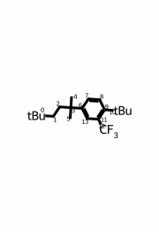 CC(C)(C)CCC(C)(C)c1ccc(C(C)(C)C)c(C(F)(F)F)c1